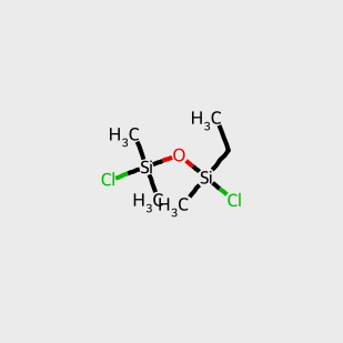 CC[Si](C)(Cl)O[Si](C)(C)Cl